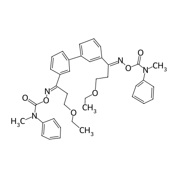 CCOCC/C(=N\OC(=O)N(C)c1ccccc1)c1cccc(-c2cccc(/C(CCOCC)=N/OC(=O)N(C)c3ccccc3)c2)c1